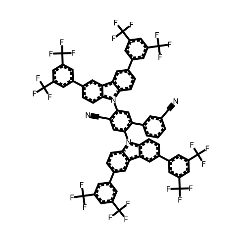 N#Cc1cccc(-c2cc(-n3c4ccc(-c5cc(C(F)(F)F)cc(C(F)(F)F)c5)cc4c4cc(-c5cc(C(F)(F)F)cc(C(F)(F)F)c5)ccc43)c(C#N)cc2-n2c3ccc(-c4cc(C(F)(F)F)cc(C(F)(F)F)c4)cc3c3cc(-c4cc(C(F)(F)F)cc(C(F)(F)F)c4)ccc32)c1